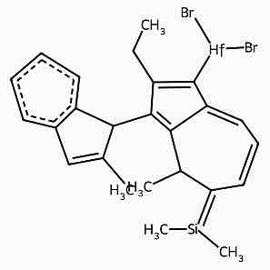 CCC1=[C]([Hf]([Br])[Br])C2=CC=CC(=[Si](C)C)C(C)C2=C1C1C(C)=Cc2ccccc21